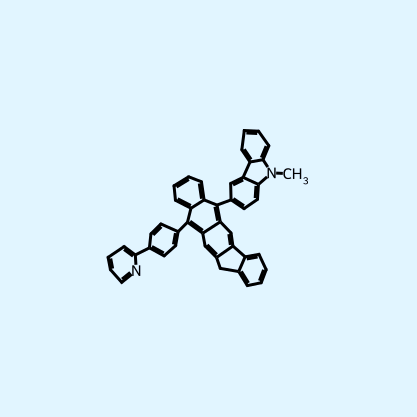 Cn1c2ccccc2c2cc(-c3c4ccccc4c(-c4ccc(-c5ccccn5)cc4)c4cc5c(cc34)-c3ccccc3C5)ccc21